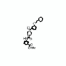 COC(=O)c1cccc(NC(=O)N2CCN(C(=O)c3cccc(OCCC4CCCCC4)c3)CC2)c1